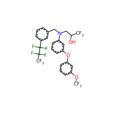 OC(CN(Cc1cccc(C(F)(F)C(F)(F)C(F)(F)F)c1)c1cccc(Oc2cccc(OC(F)(F)F)c2)c1)C(F)(F)F